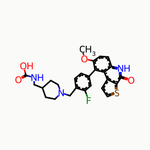 COc1ccc2[nH]c(=O)c3sccc3c2c1-c1ccc(CN2CCC(CNC(=O)O)CC2)c(F)c1